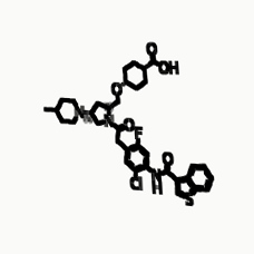 CC1CCN([C@H]2C[C@@H](CO[C@H]3CC[C@H](C(=O)O)CC3)N(C(=O)Cc3cc(Cl)c(NC(=O)c4csc5ccccc45)cc3F)C2)CC1